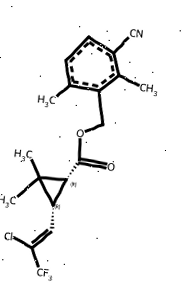 Cc1ccc(C#N)c(C)c1COC(=O)[C@@H]1[C@H](C=C(Cl)C(F)(F)F)C1(C)C